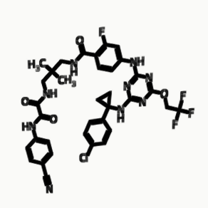 CC(C)(CNC(=O)C(=O)Nc1ccc(C#N)cc1)CNC(=O)c1ccc(Nc2nc(NC3(c4ccc(Cl)cc4)CC3)nc(OCC(F)(F)F)n2)cc1F